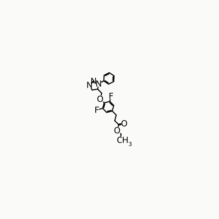 CCOC(=O)CCc1cc(F)c(OCC2CN=NN2c2ccccc2)c(F)c1